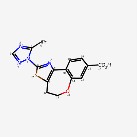 CC(C)c1ncnn1-c1nc2c(s1)CCOc1cc(C(=O)O)ccc1-2